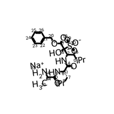 CC(C)CC(NC(=O)[C@H](CC(C)C)NC(=O)[C@H](C)N)C(O)(C(=O)OCc1ccccc1)S(=O)(=O)[O-].[Na+]